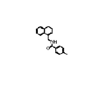 Cc1ccc(C(=O)NCC2=CCCc3ccccc32)cc1